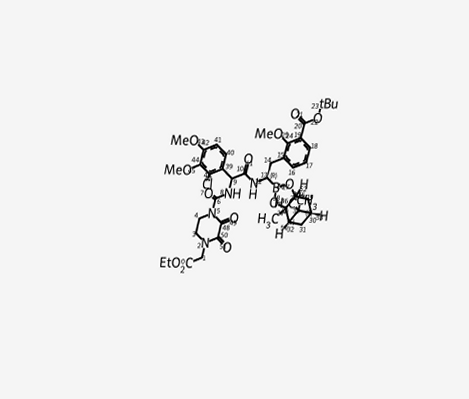 CCOC(=O)CN1CCN(C(=O)NC(C(=O)N[C@@H](Cc2cccc(C(=O)OC(C)(C)C)c2OC)B2O[C@@H]3C[C@@H]4C[C@@H](C4(C)C)[C@]3(C)O2)c2ccc(OC)c(OC)c2Cl)C(=O)C1=O